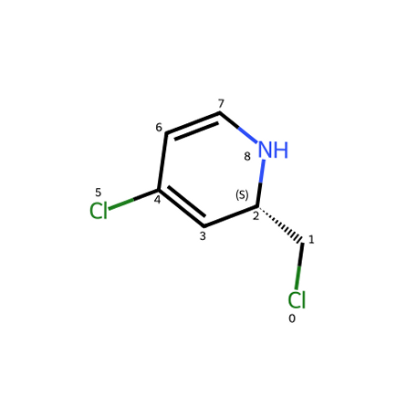 ClC[C@@H]1C=C(Cl)C=CN1